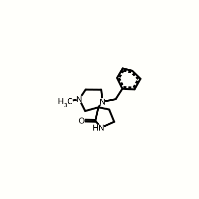 CN1CCN(Cc2ccccc2)C2(CCNC2=O)C1